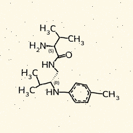 Cc1ccc(N[C@@H](CNC(=O)[C@@H](N)C(C)C)C(C)C)cc1